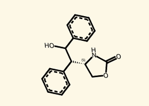 O=C1N[C@@H](C(c2ccccc2)C(O)c2ccccc2)CO1